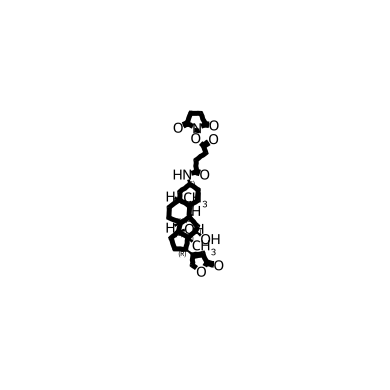 C[C@]12CC[C@H](NC(=O)CCC(=O)ON3C(=O)CCC3=O)C[C@H]1CC[C@@H]1[C@@H]2C[C@@H](O)[C@]2(C)[C@@H](C3=CC(=O)OC3)CC[C@]12O